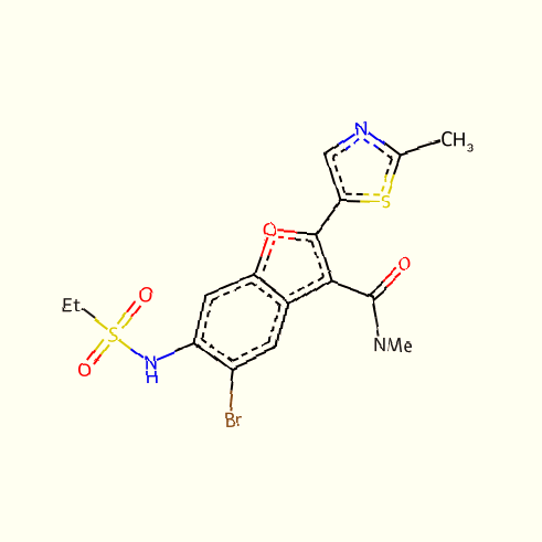 CCS(=O)(=O)Nc1cc2oc(-c3cnc(C)s3)c(C(=O)NC)c2cc1Br